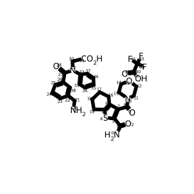 NC(=O)c1sc2c(c1C(=O)N1CCOCC1)CCCC2.NCc1cccc(C(=O)N(CC(=O)O)c2ccccc2)c1.O=C(O)C(F)(F)F